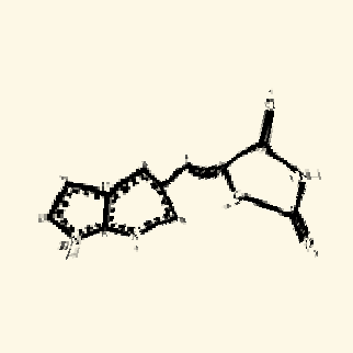 O=C1NC(=O)C(=Cc2cnc3[nH]ccc3c2)S1